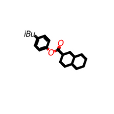 CCC(C)c1ccc(OC(=O)C2CCC3CCCCC3C2)cc1